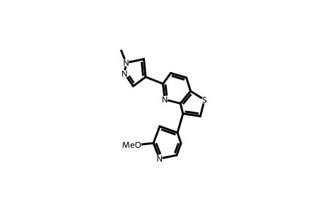 COc1cc(-c2csc3ccc(-c4cnn(C)c4)nc23)ccn1